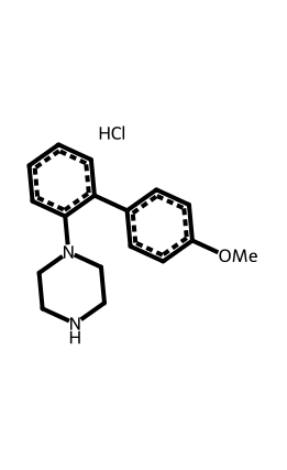 COc1ccc(-c2ccccc2N2CCNCC2)cc1.Cl